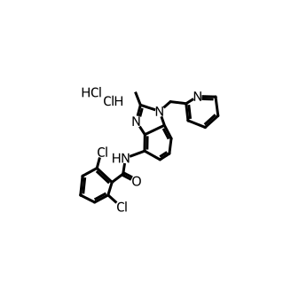 Cc1nc2c(NC(=O)c3c(Cl)cccc3Cl)cccc2n1Cc1ccccn1.Cl.Cl